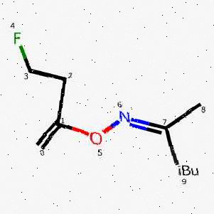 C=C(CCF)O/N=C(/C)C(C)CC